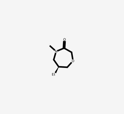 CC[C@@H]1COCC(=O)N(C)C1